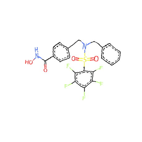 O=C(NO)c1ccc(CN(Cc2ccccc2)S(=O)(=O)c2c(F)c(F)c(F)c(F)c2F)cc1